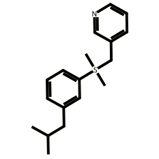 CC(C)Cc1cccc(S(C)(C)Cc2cccnc2)c1